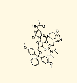 COc1ccc(C(OC[C@H]2O[C@@H](n3ccc(NC(C)=O)nc3=O)C(OC(=S)N3CCS(=O)(=O)CC3)C2OP(OCCC#N)N(C(C)C)C(C)C)(C2=CC=CCC=C2)c2ccc(OC)cc2)cc1